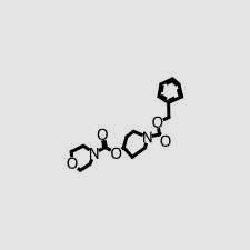 O=C(OCc1ccccc1)N1CCC(OC(=O)N2CCOCC2)CC1